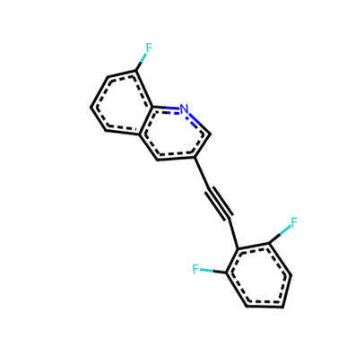 Fc1cccc(F)c1C#Cc1cnc2c(F)cccc2c1